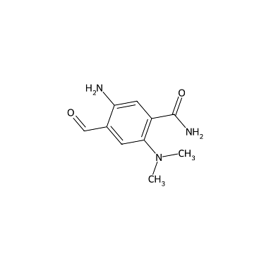 CN(C)c1cc(C=O)c(N)cc1C(N)=O